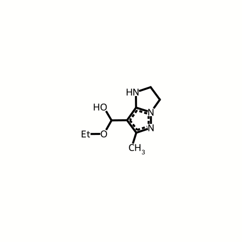 CCOC(O)c1c(C)nn2c1NCC2